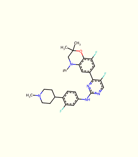 CC(C)N1CC(C)(C)Oc2c(F)cc(-c3nc(Nc4ccc(C5CCN(C)CC5)c(F)c4)ncc3F)cc21